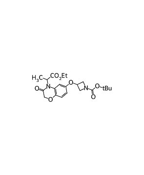 CCOC(=O)C(C)N1C(=O)COc2ccc(OC3CN(C(=O)OC(C)(C)C)C3)cc21